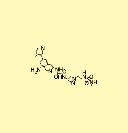 CNS(=O)(=O)NCCn1cc(NC(=O)C(=O)Nc2cc3cc(-c4cnccc4C)cc(N)c3cn2)cn1